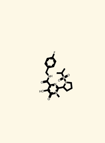 CC(C)S(=O)(=O)N1CCCC1c1nc(C(=O)NCc2ccc(F)cc2)c(O)c(=O)n1C